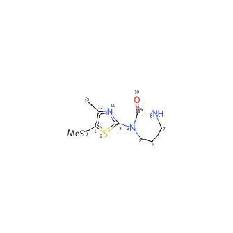 CSc1sc(N2CCCNC2=O)nc1C